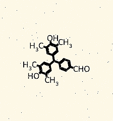 Cc1cc(C(c2ccc(C=O)cc2)c2cc(C)c(O)c(C)c2)cc(C)c1O